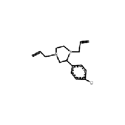 C=CCN1CCN(CC=C)C(c2ccc(Cl)cc2)C1